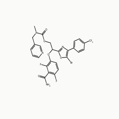 CN(Cc1cccnc1)C(=O)OCC(Oc1ccc(F)c(C(N)=O)c1F)c1nc(-c2ccc(C(F)(F)F)cc2)c(Br)o1